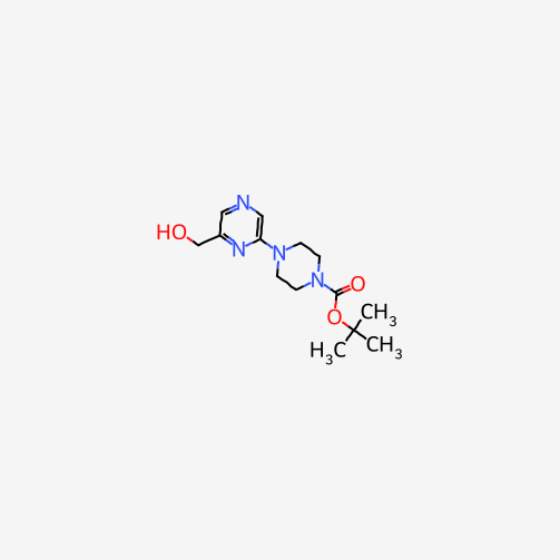 CC(C)(C)OC(=O)N1CCN(c2cncc(CO)n2)CC1